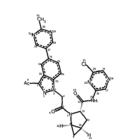 CC(=O)c1nn(CC(=O)N2[C@@H]3C[C@@H]3C[C@H]2C(=O)Nc2cncc(Cl)n2)c2ccc(-c3cnc(C)nc3)cc12